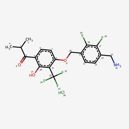 CC(C)C(=O)c1ccc(OCc2ccc(CN)c(F)c2F)c(C(F)(F)F)c1O.Cl